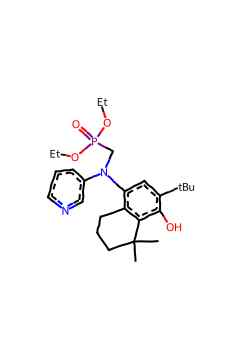 CCOP(=O)(CN(c1cccnc1)c1cc(C(C)(C)C)c(O)c2c1CCCC2(C)C)OCC